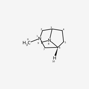 CN1CC2CC[C@H](C1)N2I